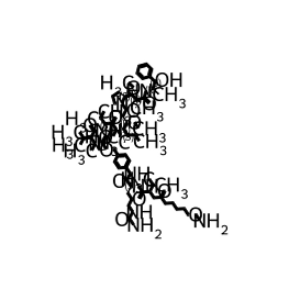 CC[C@H](C)[C@@H]([C@@H](CC(=O)N1CCC[C@H]1[C@H](OC)[C@@H](C)C(=O)N[C@H](C)[C@@H](O)c1ccccc1)OC)N(C)C(=O)[C@@H](NC(=O)C(C(C)C)N(C)C(=O)OCc1ccc(NC(=O)[C@H](CCCNC(N)=O)NC(=O)C(CC(=O)CCCCCON)C(C)C)cc1)C(C)C